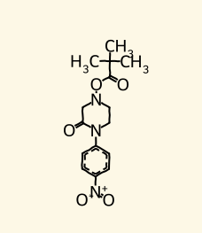 CC(C)(C)C(=O)ON1CCN(c2ccc([N+](=O)[O-])cc2)C(=O)C1